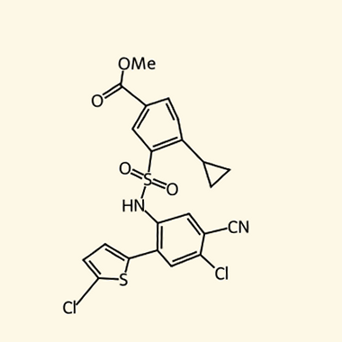 COC(=O)c1ccc(C2CC2)c(S(=O)(=O)Nc2cc(C#N)c(Cl)cc2-c2ccc(Cl)s2)c1